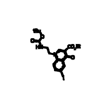 CCOC(=O)c1cn(CCNC(=O)OC(C)(C)C)c2ccc(I)cc2c1=O